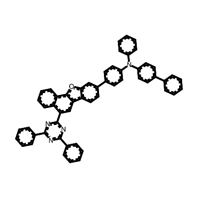 c1ccc(-c2ccc(N(c3ccccc3)c3ccc(-c4ccc5c(c4)oc4c6ccccc6c(-c6nc(-c7ccccc7)nc(-c7ccccc7)n6)cc54)cc3)cc2)cc1